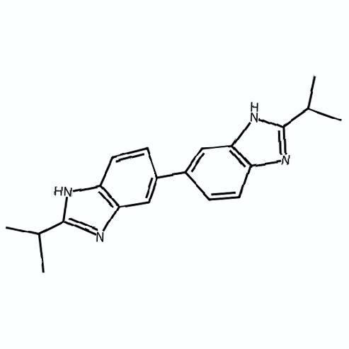 CC(C)c1nc2cc(-c3ccc4nc(C(C)C)[nH]c4c3)ccc2[nH]1